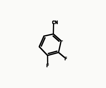 N#Cc1[c]c(F)c(F)cc1